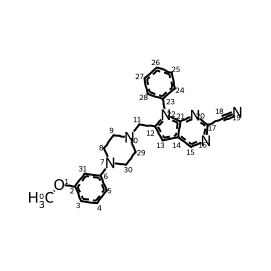 COc1cccc(N2CCN(Cc3cc4cnc(C#N)nc4n3-c3ccccc3)CC2)c1